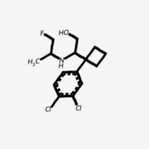 CC(CF)NC(CO)C1(c2ccc(Cl)c(Cl)c2)CCC1